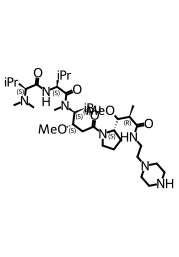 CC[C@H](C)[C@@H]([C@H](CC(=O)N1CCC[C@H]1C(OC)[C@@H](C)C(=O)NCCN1CCNCC1)OC)N(C)C(=O)[C@@H](NC(=O)[C@H](C(C)C)N(C)C)C(C)C